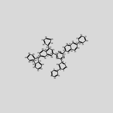 c1ccc(-c2cccc(-c3nc(-c4ccc5cc(-c6ccccc6)ccc5c4)nc(-c4cc(-c5ccccc5)c5ccc(-n6c7ccccc7c7ccccc76)cc5c4)n3)c2)cc1